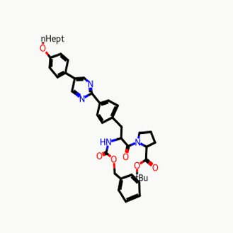 CCCCCCCOc1ccc(-c2cnc(-c3ccc(CC(NC(=O)OCc4ccccc4)C(=O)N4CCCC4C(=O)OC(C)(C)C)cc3)nc2)cc1